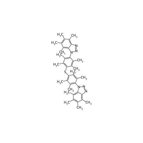 Cc1c(C)c(-n2nnc3c(C)c(C)c(C)c(C)c32)c(C)c(C)c1Sc1c(C)c(C)c(-n2nnc3c(C)c(C)c(C)c(C)c32)c(C)c1C